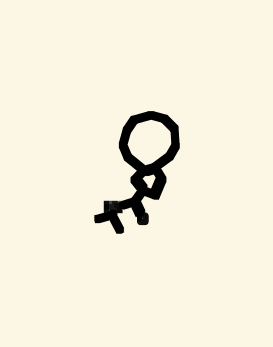 CC(C)NC(=O)c1ccc2c(c1)CCCCCCCCC2